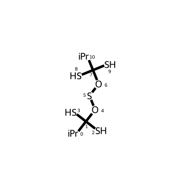 CC(C)C(S)(S)OSOC(S)(S)C(C)C